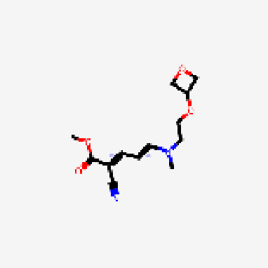 COC(=O)/C(C#N)=C/C=C/N(C)CCOC1COC1